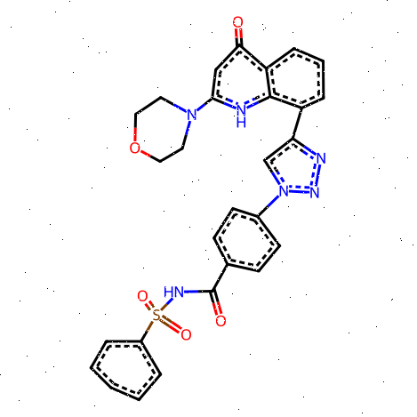 O=C(NS(=O)(=O)c1ccccc1)c1ccc(-n2cc(-c3cccc4c(=O)cc(N5CCOCC5)[nH]c34)nn2)cc1